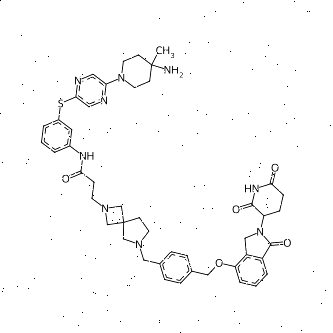 CC1(N)CCN(c2cnc(Sc3cccc(NC(=O)CCN4CC5(CCN(Cc6ccc(COc7cccc8c7CN(C7CCC(=O)NC7=O)C8=O)cc6)C5)C4)c3)cn2)CC1